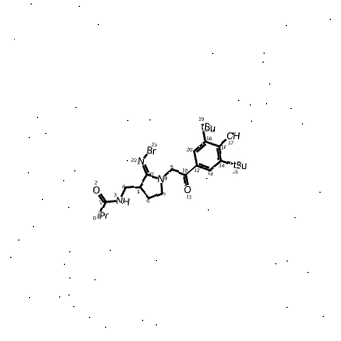 CC(C)C(=O)NCC1CCN(CC(=O)c2cc(C(C)(C)C)c(O)c(C(C)(C)C)c2)/C1=N\Br